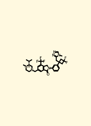 CC(C)[C@H]1CN(Cc2cc3c(c(C(F)(F)F)c2)CN(c2cccc(C4(Cc5nncn5C)CC(F)(F)C4)c2)C3=O)CCN1C